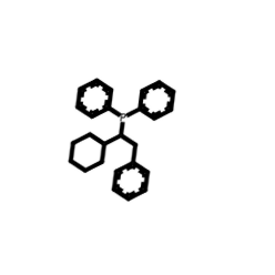 c1ccc(CC(C2CCCCC2)P(c2ccccc2)c2ccccc2)cc1